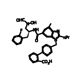 CCCc1nc2c(C)cc(C(=O)N[C@H](Cc3ccccc3F)CN(O)C=O)cc2n1Cc1ccc(-c2ccccc2C(=O)O)cc1